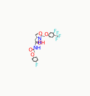 C=CC(C[C@H](O)CNC(=O)COc1ccc(F)cc1)NC(=O)COc1ccc(C(F)(F)F)c(F)c1